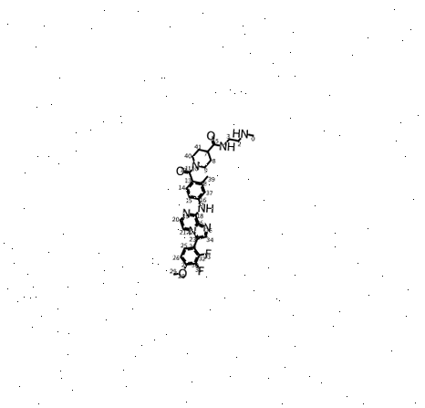 CNCCNC(=O)C1CCN(C(=O)c2ccc(Nc3nccn4c(-c5ccc(OC)c(F)c5F)cnc34)cc2C)CC1